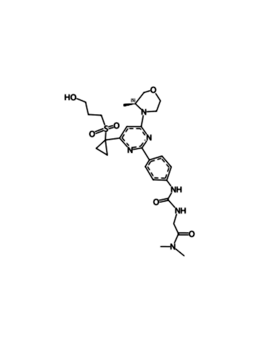 C[C@H]1COCCN1c1cc(C2(S(=O)(=O)CCCO)CC2)nc(-c2ccc(NC(=O)NCC(=O)N(C)C)cc2)n1